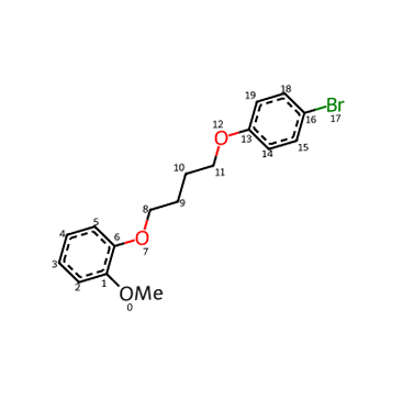 COc1ccccc1OCCCCOc1ccc(Br)cc1